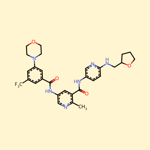 Cc1ncc(NC(=O)c2cc(N3CCOCC3)cc(C(F)(F)F)c2)cc1C(=O)Nc1ccc(NCC2CCCO2)nc1